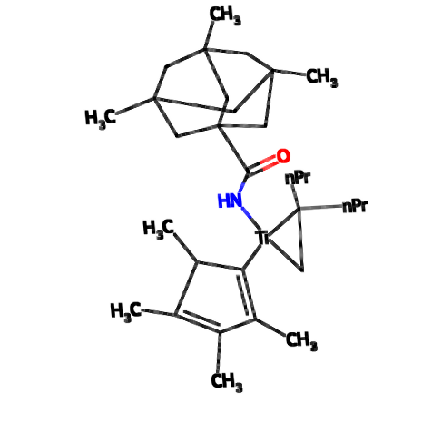 CCC[C]1(CCC)[CH2][Ti]1([NH]C(=O)C12CC3(C)CC(C)(CC(C)(C3)C1)C2)[C]1=C(C)C(C)=C(C)C1C